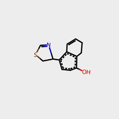 Oc1ccc(C2CSC=N2)c2c1CCC=C2